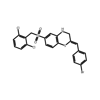 O=S(=O)(Cc1c(Cl)cccc1Cl)c1ccc2c(c1)NCC(=Cc1ccc(Br)cc1)S2